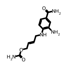 NC(=O)OC/C=C/CNc1ccc(C(N)=O)cc1N